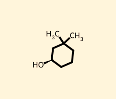 CC1(C)CCC[C@@H](O)C1